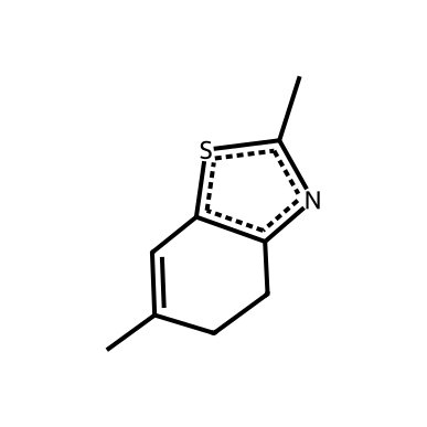 CC1=Cc2sc(C)nc2CC1